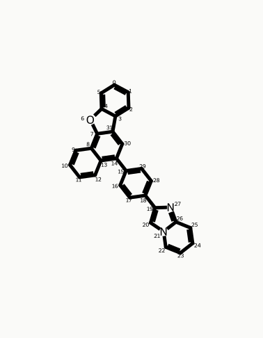 c1ccc2c(c1)oc1c3ccccc3c(-c3ccc(-c4cn5ccccc5n4)cc3)cc21